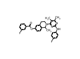 Cc1nc(Nc2ccc(F)cc2)nc(N2CCc3cc(OC(=O)c4cccc(F)c4)ccc3C2C)c1C